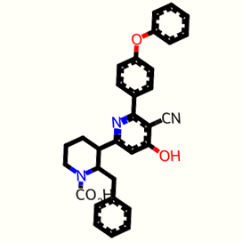 N#Cc1c(O)cc(C2CCCN(C(=O)O)C2Cc2ccccc2)nc1-c1ccc(Oc2ccccc2)cc1